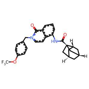 O=C(Nc1cccc2c(=O)n(Cc3ccc(OC(F)(F)F)cc3)ccc12)[C@@]12C[C@@H]3C[C@@H](C[C@@H]1C3)C2